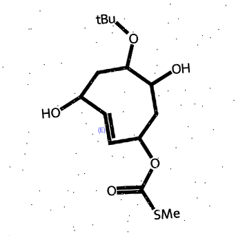 CSC(=O)OC1/C=C/C(O)CC(OC(C)(C)C)C(O)C1